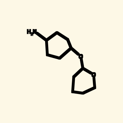 NC1CCC(OC2CCCCO2)CC1